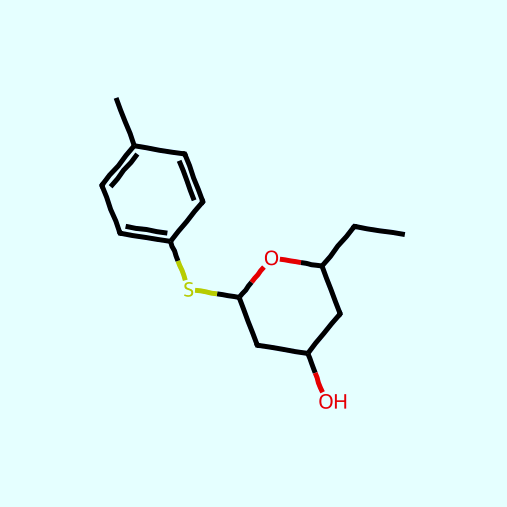 CCC1CC(O)CC(Sc2ccc(C)cc2)O1